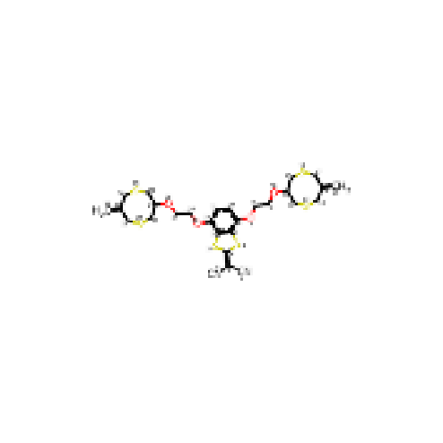 [C-]#[N+]C(C#N)=C1Sc2c(OCCOC3CSCC(=C)CSC3)ccc(OCCOC3CSCC(=C)CSC3)c2S1